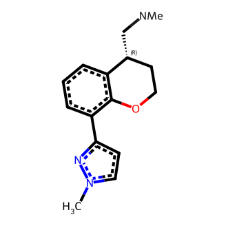 CNC[C@@H]1CCOc2c(-c3ccn(C)n3)cccc21